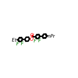 CCCc1ccc(-c2ccc(C(=O)OC3CCC(c4ccc(CC)c(F)c4F)CC3)c(F)c2F)cc1